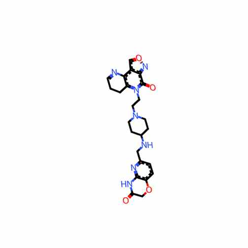 O=C1COc2ccc(CNC3CCN(CCn4c5c(c6conc6c4=O)N=CCC5)CC3)nc2N1